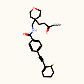 COC(=O)CCC1(CNC(=O)c2ccc(C#CC3=CCCCC3F)cc2)CCOCC1